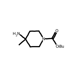 CC(C)COC(=O)N1CCC(C)(N)CC1